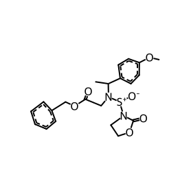 COc1ccc(C(C)N(CC(=O)OCc2ccccc2)[S+]([O-])N2CCOC2=O)cc1